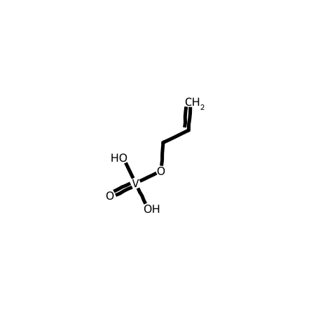 C=CC[O][V](=[O])([OH])[OH]